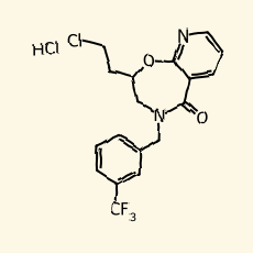 Cl.O=C1c2cccnc2OC(CCCl)CN1Cc1cccc(C(F)(F)F)c1